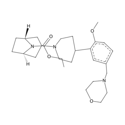 CCOC(=O)N1[C@@H]2CC[C@@H]1CC(N1CCC(c3cc(CN4CCOCC4)ccc3OC)CC1)C2